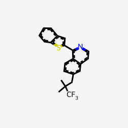 CC(C)(Cc1ccc2c(-c3cc4ccccc4s3)nccc2c1)C(F)(F)F